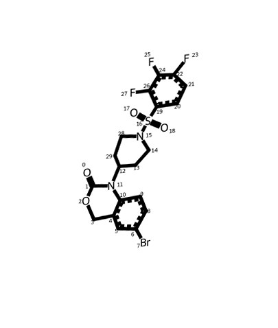 O=C1OCc2cc(Br)ccc2N1C1CCN(S(=O)(=O)c2ccc(F)c(F)c2F)CC1